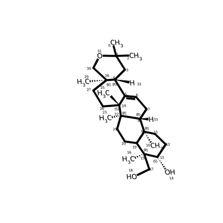 CC1(C)C[C@@H]2C3=CC[C@@H]4[C@@]5(C)CC[C@H](O)[C@@](C)(CO)C5CC[C@@]4(C)[C@]3(C)CC[C@@]2(C)CO1